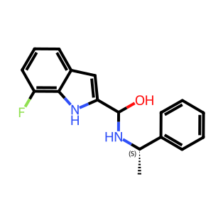 C[C@H](NC(O)c1cc2cccc(F)c2[nH]1)c1ccccc1